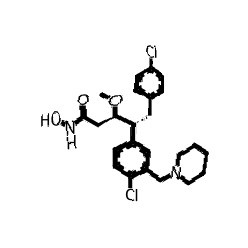 CO[C@H](CC(=O)NO)[C@H](Cc1ccc(Cl)cc1)c1ccc(Cl)c(CN2CCCCC2)c1